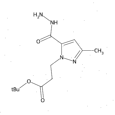 Cc1cc(C(=O)NN)n(CCC(=O)OC(C)(C)C)n1